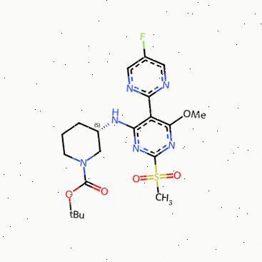 COc1nc(S(C)(=O)=O)nc(N[C@H]2CCCN(C(=O)OC(C)(C)C)C2)c1-c1ncc(F)cn1